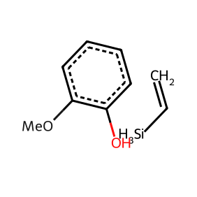 C=C[SiH3].COc1ccccc1O